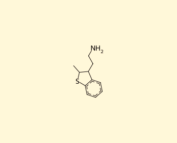 CC1Sc2ccccc2C1CCN